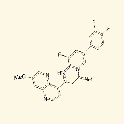 COc1cnc2c(NCC(=N)n3cc(-c4ccc(F)c(F)c4)cc(F)c3=N)ccnc2c1